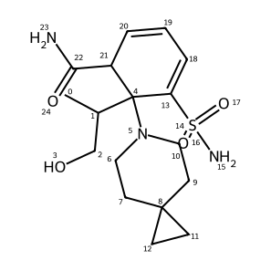 CC(CO)C1(N2CCC3(CC2)CC3)C(S(N)(=O)=O)=CC=CC1C(N)=O